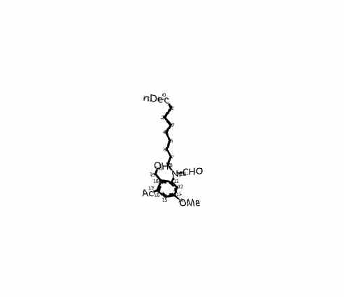 CCCCCCCCCCCCCCCCCCN(C=O)c1cc(OC)cc(C(C)=O)c1CO